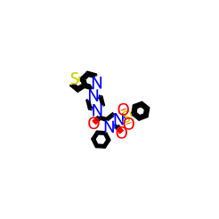 O=C(C1CN(S(=O)(=O)c2ccccc2)C(=O)N1C1CCCCC1)N1CCN(c2nccc3sccc23)CC1